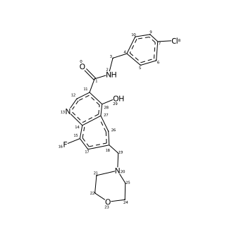 O=C(NCc1ccc(Cl)cc1)c1cnc2c(F)cc(CN3CCOCC3)cc2c1O